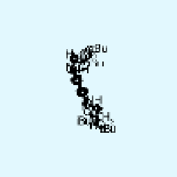 CC[C@@H](C)[C@@H](C(=O)N1CCCC1c1ncc(-c2ccc(-c3ccc(-c4cnc([C@@H]5CCCN5C(=O)[C@H]([C@H](C)CC)N(C)C(=O)OC(C)(C)C)[nH]4)cc3)cc2)[nH]1)N(C)C(=O)OC(C)(C)C